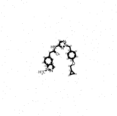 Cn1ncc2cc(CC(=O)Nc3cnn(Cc4ccc(OCC5CC5)cc4)n3)ccc21